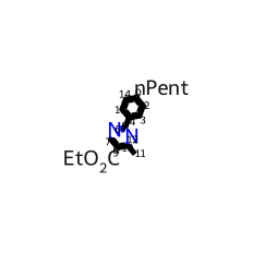 CCCCCc1ccc(-c2ncc(C(=O)OCC)c(C)n2)cc1